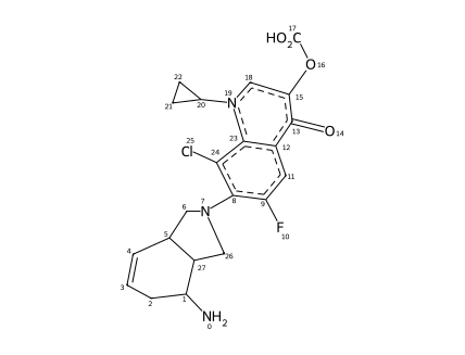 NC1CC=CC2CN(c3c(F)cc4c(=O)c(OC(=O)O)cn(C5CC5)c4c3Cl)CC12